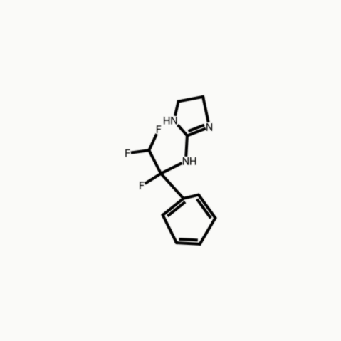 FC(F)C(F)(NC1=NCCN1)c1ccccc1